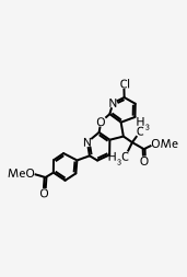 COC(=O)c1ccc(-c2ccc3c(n2)Oc2nc(Cl)ccc2C3C(C)(C)C(=O)OC)cc1